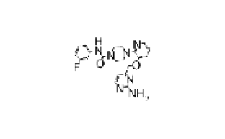 Nc1nccc(COc2cccnc2N2CCN(C(=O)Nc3cccc(F)c3)CC2)n1